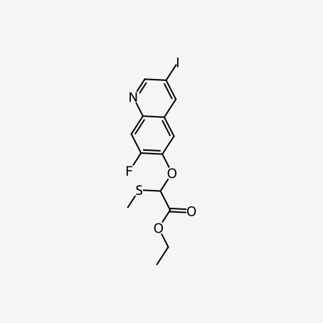 CCOC(=O)C(Oc1cc2cc(I)cnc2cc1F)SC